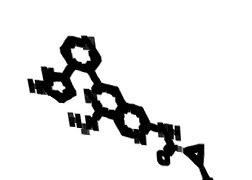 N#C[C@@H]1C[C@H]1C(=O)Nc1cc2cc(-c3cnccc3-c3cc[nH]n3)nc(N)c2cn1